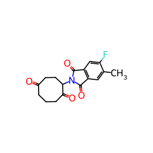 Cc1cc2c(cc1F)C(=O)N(C1CCC(=O)CCCC1=O)C2=O